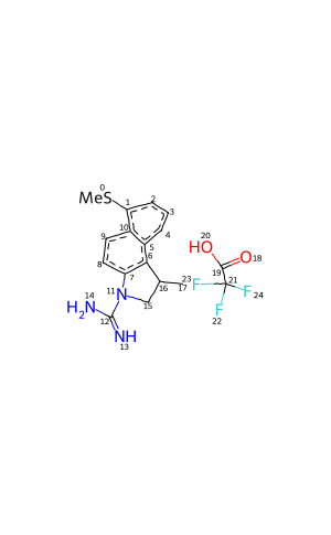 CSc1cccc2c3c(ccc12)N(C(=N)N)CC3C.O=C(O)C(F)(F)F